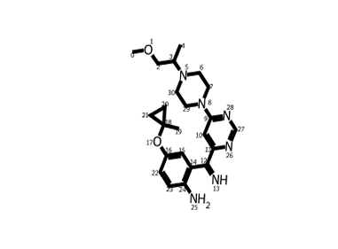 COCC(C)N1CCN(c2cc(C(=N)c3cc(OC4(C)CC4)ccc3N)ncn2)CC1